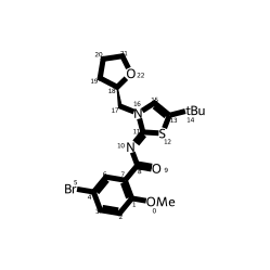 COc1ccc(Br)cc1C(=O)/N=c1\sc(C(C)(C)C)cn1C[C@H]1CCCO1